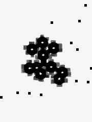 c1ccc(-c2ccccc2-c2ccc(N(c3ccc(-c4cccc5ccccc45)cc3)c3cc4ccccc4c4ccccc34)cc2-c2ccccc2)cc1